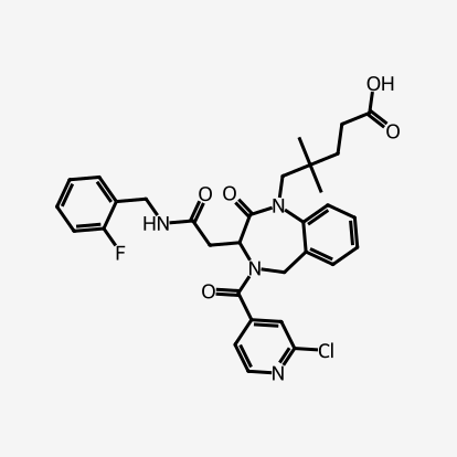 CC(C)(CCC(=O)O)CN1C(=O)C(CC(=O)NCc2ccccc2F)N(C(=O)c2ccnc(Cl)c2)Cc2ccccc21